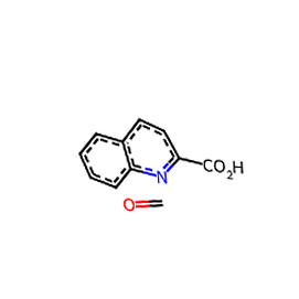 C=O.O=C(O)c1ccc2ccccc2n1